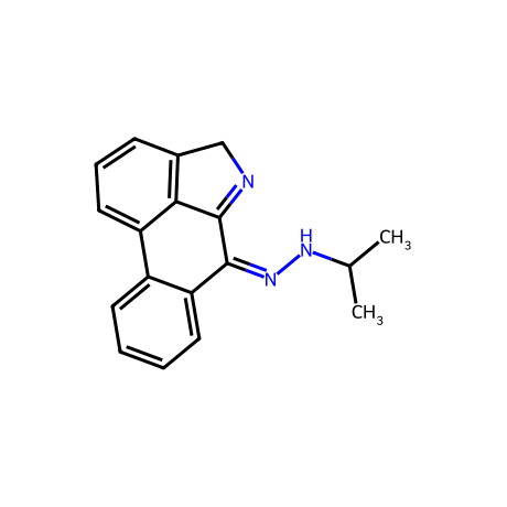 CC(C)N/N=C1\C2=NCc3cccc(c32)-c2ccccc21